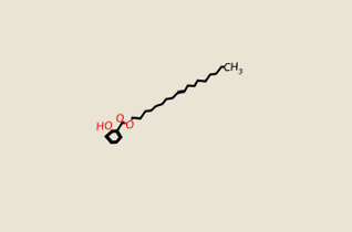 CCCCCCCCC=CCCCCCCCCOC(=O)c1ccccc1O